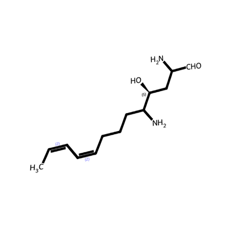 C/C=C\C=C/CCCC(N)[C@@H](O)CC(N)C=O